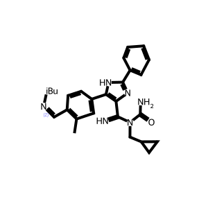 CCC(C)/N=C\c1ccc(-c2[nH]c(-c3ccccc3)nc2C(=N)N(CC2CC2)C(N)=O)cc1C